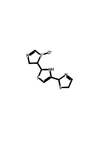 [O-][S+]1C=NCC1C1NC(C2N=CCS2)=CS1